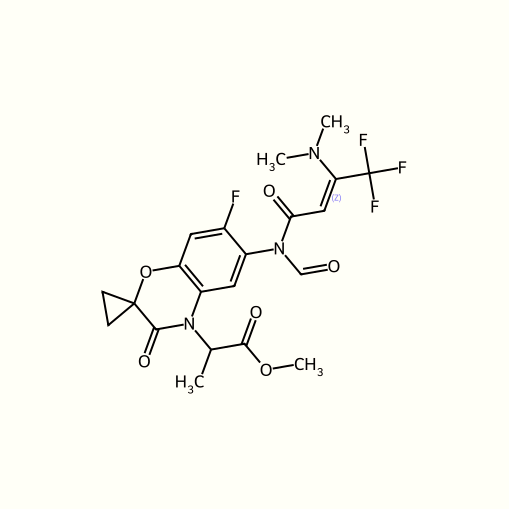 COC(=O)C(C)N1C(=O)C2(CC2)Oc2cc(F)c(N(C=O)C(=O)/C=C(\N(C)C)C(F)(F)F)cc21